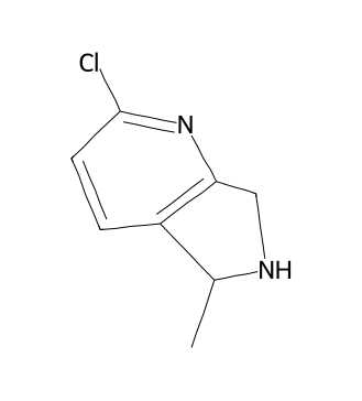 CC1NCc2nc(Cl)ccc21